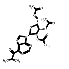 CC(=O)OC[C@H]1O[C@@H](n2cnc3c(C(=O)C(C)C)ncnc32)[C@H](OC(C)=O)[C@@H]1OC(C)=O